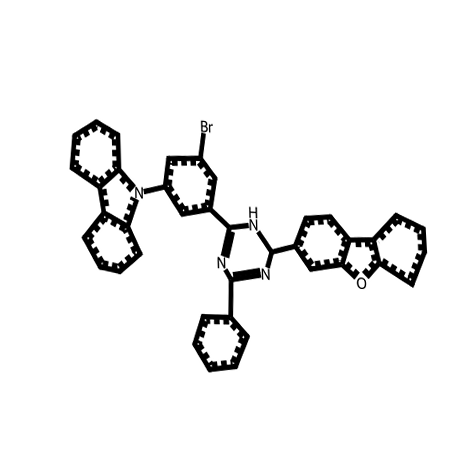 Brc1cc(C2=NC(c3ccccc3)=NC(c3ccc4c(c3)oc3ccccc34)N2)cc(-n2c3ccccc3c3ccccc32)c1